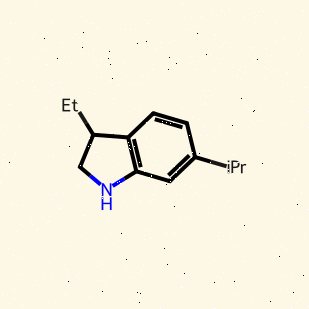 CCC1CNc2cc(C(C)C)ccc21